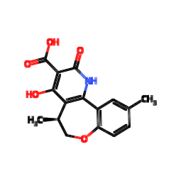 Cc1ccc2c(c1)-c1[nH]c(=O)c(C(=O)O)c(O)c1[C@H](C)CO2